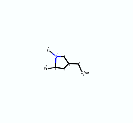 CC[C@@H]1CC(COC)CN1CC